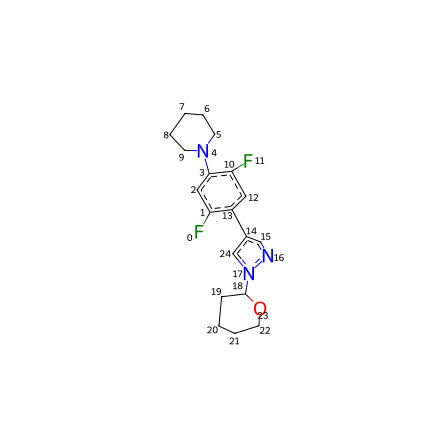 Fc1cc(N2CCCCC2)c(F)cc1-c1cnn(C2CCCCO2)c1